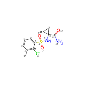 Cc1cccc(S(=O)(=O)NC2(C(N)=O)CC2)c1Cl